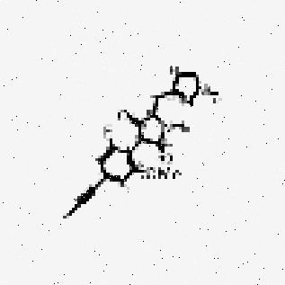 CC#Cc1cc(F)c(C2C(=O)C(Cc3ccn(C)n3)N(C)C2=O)c(OC)c1